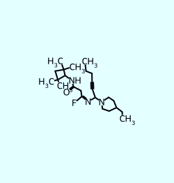 CCCC#CC(/N=C(/F)CC(=O)NC1C(C)(C)CC1(C)C)N1CCC(CC)CC1